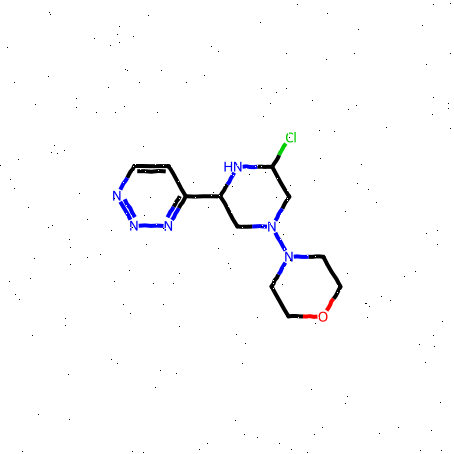 ClC1CN(N2CCOCC2)CC(c2ccnnn2)N1